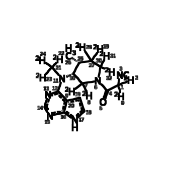 [2H]C([2H])([N+]#[C-])C(=O)N1C([2H])([2H])[C@H](N(c2ncnc3[nH]ccc23)C([2H])([2H])[2H])[C@H](C)C([2H])([2H])C1([2H])[2H]